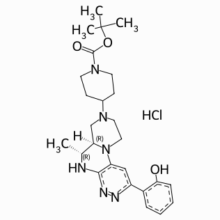 C[C@H]1Nc2nnc(-c3ccccc3O)cc2N2CCN(C3CCN(C(=O)OC(C)(C)C)CC3)C[C@H]12.Cl